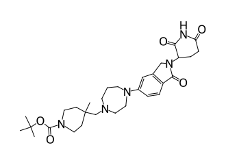 CC1(CN2CCCN(c3ccc4c(c3)CN(C3CCC(=O)NC3=O)C4=O)CC2)CCN(C(=O)OC(C)(C)C)CC1